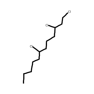 CCCCCC(Cl)CCCC(Cl)CCCl